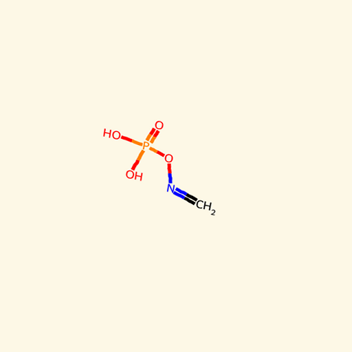 C=NOP(=O)(O)O